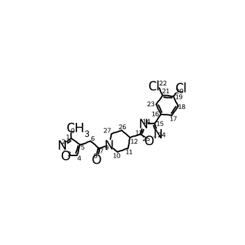 Cc1nocc1CC(=O)N1CCC(c2nc(-c3ccc(Cl)c(Cl)c3)no2)CC1